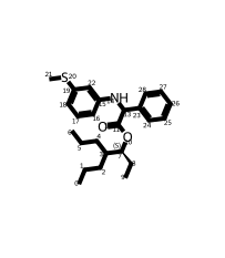 CCCC(CCC)[C@H](CC)OC(=O)C(Nc1cccc(SC)c1)c1ccccc1